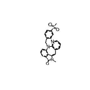 CN1C(=O)c2cccc3c2C1=Cc1cccnc1N3Cc1ccc(S(C)(=O)=O)cc1